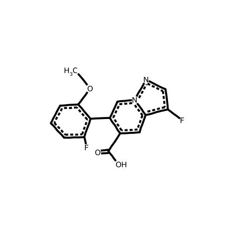 COc1cccc(F)c1-c1cn2ncc(F)c2cc1C(=O)O